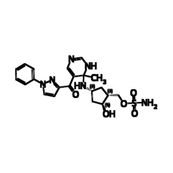 CC1(N[C@@H]2C[C@H](COS(N)(=O)=O)[C@@H](O)C2)NC=NC=C1C(=O)c1ccn(-c2ccccc2)n1